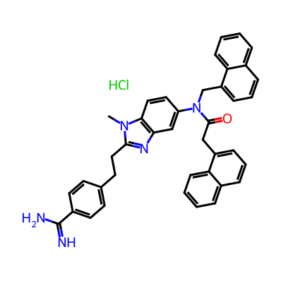 Cl.Cn1c(CCc2ccc(C(=N)N)cc2)nc2cc(N(Cc3cccc4ccccc34)C(=O)Cc3cccc4ccccc34)ccc21